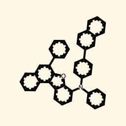 c1ccc(-c2cc3ccccc3c3c2oc2c(N(c4ccccc4)c4ccc(-c5ccc6ccccc6c5)cc4)cccc23)cc1